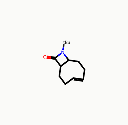 CC(C)(C)N1C(=O)C2CC/C=C/CCC21